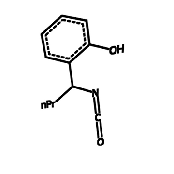 CCCC(N=C=O)c1ccccc1O